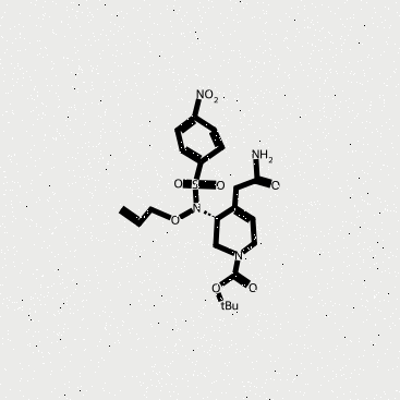 C=CCON([C@H]1CN(C(=O)OC(C)(C)C)CC=C1CC(N)=O)S(=O)(=O)c1ccc([N+](=O)[O-])cc1